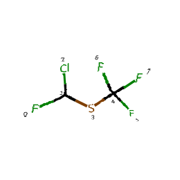 FC(Cl)SC(F)(F)F